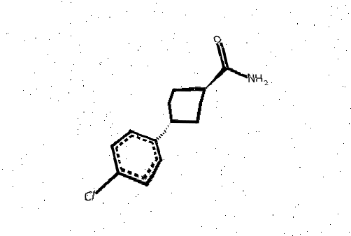 NC(=O)[C@H]1C[C@H](c2ccc(Cl)cc2)C1